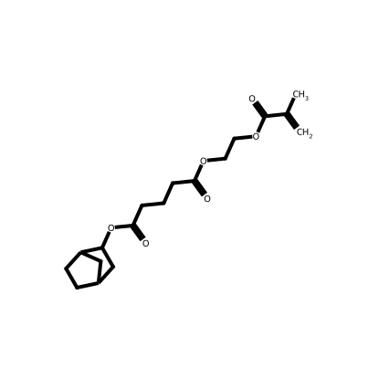 C=C(C)C(=O)OCCOC(=O)CCCC(=O)OC1CC2CCC1C2